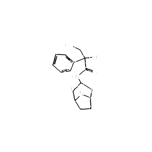 CN1C2CCC1CC(NC(=O)C(C)(CO)c1ccccc1)C2